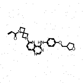 C=CC(=O)N1CCC12CN(c1ccc3ncnc(Nc4ccc(OCC5CCOC5)cc4)c3n1)C2